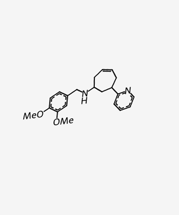 COc1ccc(CNC2CC=CCC(c3ccccn3)C2)cc1OC